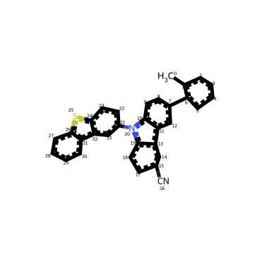 Cc1ccccc1-c1ccc2c(c1)c1cc(C#N)ccc1n2-c1ccc2sc3ccccc3c2c1